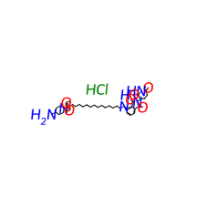 Cl.NC1CCN(S(=O)(=O)CCCCCCCCCCCCCCNc2cccc3c2C(=O)N(C2CCC(=O)NC2=O)C3=O)CC1